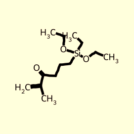 C=C(C)C(=O)CCC[Si](CC)(OCC)OCC